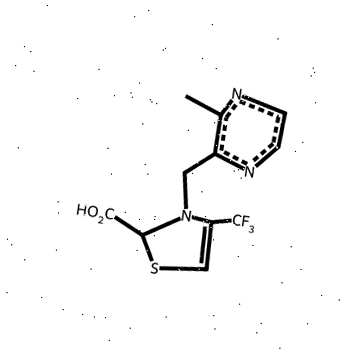 Cc1nccnc1CN1C(C(F)(F)F)=CSC1C(=O)O